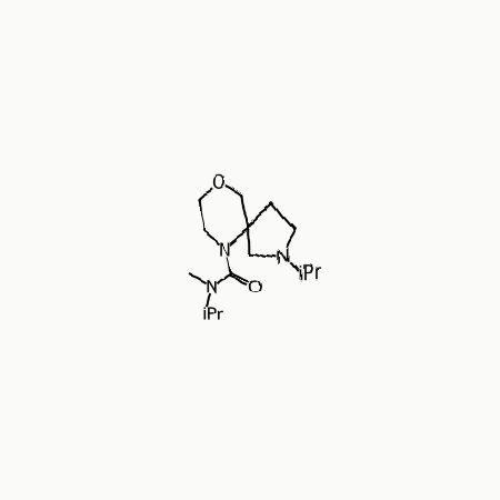 CC(C)N1CCC2(COCCN2C(=O)N(C)C(C)C)C1